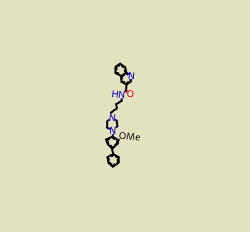 COc1cc(-c2ccccc2)ccc1N1CCN(CCCCNC(=O)c2cnc3ccccc3c2)CC1